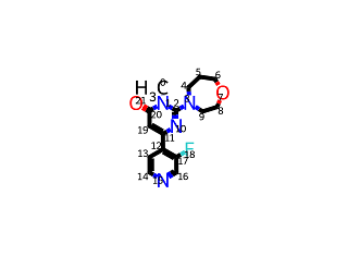 Cn1c(N2CCCOCC2)nc(-c2ccncc2F)cc1=O